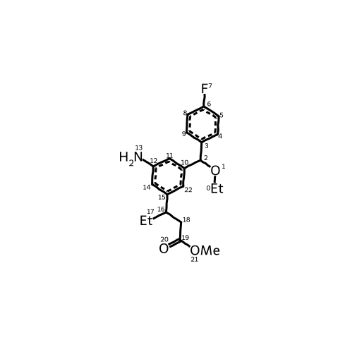 CCOC(c1ccc(F)cc1)c1cc(N)cc(C(CC)CC(=O)OC)c1